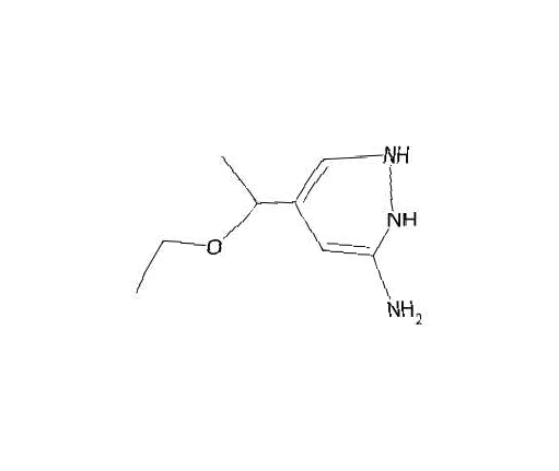 CCOC(C)C1=CNNC(N)=C1